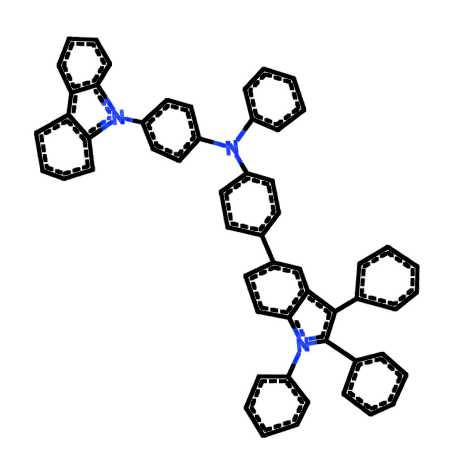 c1ccc(-c2c(-c3ccccc3)n(-c3ccccc3)c3ccc(-c4ccc(N(c5ccccc5)c5ccc(-n6c7ccccc7c7ccccc76)cc5)cc4)cc23)cc1